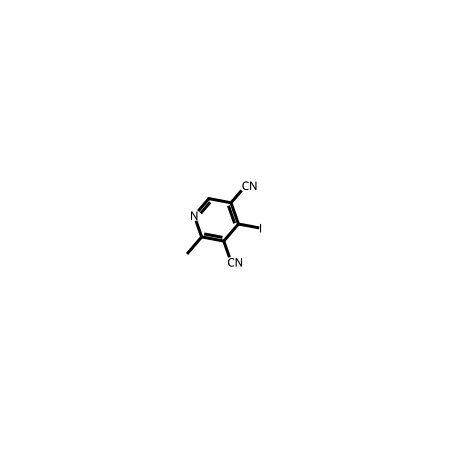 Cc1ncc(C#N)c(I)c1C#N